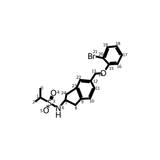 CC(C)S(=O)(=O)NC1Cc2ccc(COc3ccccc3Br)cc2C1